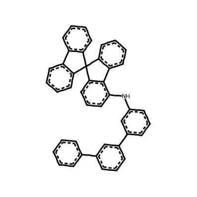 c1ccc(-c2cccc(-c3cccc(Nc4cccc5c4-c4ccccc4C54c5ccccc5-c5ccccc54)c3)c2)cc1